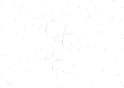 CS(=O)(=O)OC1C=CCC12CCCCC2